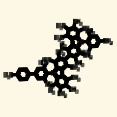 Bc1ccc(-c2cc(B)c(-n3c4c(B)c(B)c(B)c(B)c4c4c(B)c(-c5c(B)c(B)c6c(c5B)c5c(B)c(B)c(B)c(B)c5n6-c5c(B)cc(B)cc5B)c(B)c(B)c43)c(B)c2)cc1